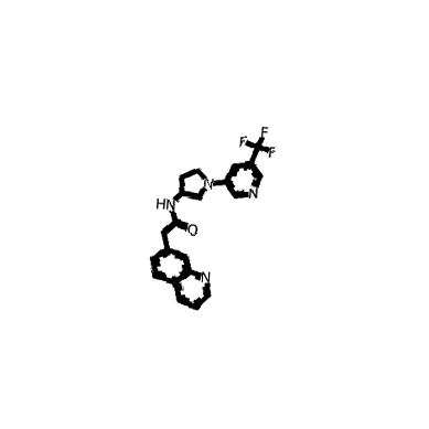 O=C(Cc1ccc2cccnc2c1)NC1CCN(c2cncc(C(F)(F)F)c2)C1